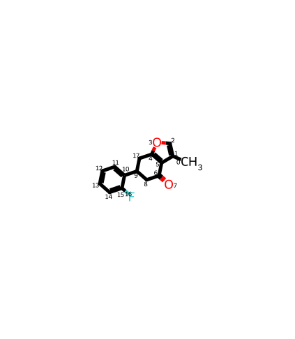 Cc1coc2c1C(=O)CC(c1ccccc1F)C2